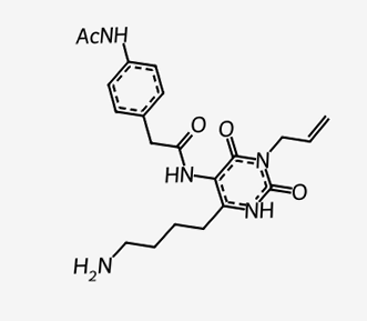 C=CCn1c(=O)[nH]c(CCCCN)c(NC(=O)Cc2ccc(NC(C)=O)cc2)c1=O